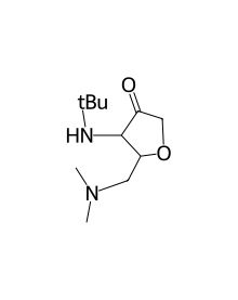 CN(C)CC1OCC(=O)C1NC(C)(C)C